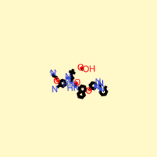 CC1CCCCN1c1nnc2ccc(O[C@@H]3CC[C@H](NC(=O)Nc4cc(C(C)(C)C)nn4-c4ccc(C#N)c(OCCN(C)C)c4)c4ccccc43)cn12.O=CO